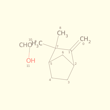 C=C1C2CCC(C2)C1(C)C.O=CO